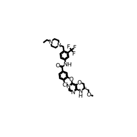 CCN1CCN(Cc2ccc(NC(=O)c3ccc(Cl)c(Oc4ncnc5c4OC[C@@H](COC)N5)c3)cc2C(F)(F)F)CC1